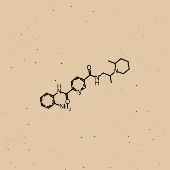 CC1CCCCN1C(C)CNC(=O)c1ccc(C(=O)Nc2ccccc2N)nc1